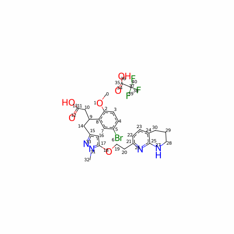 COc1ccc(Br)cc1C(CC(=O)O)Cc1cc(OCCc2ccc3c(n2)NCCC3)n(C)n1.O=C(O)C(F)(F)F